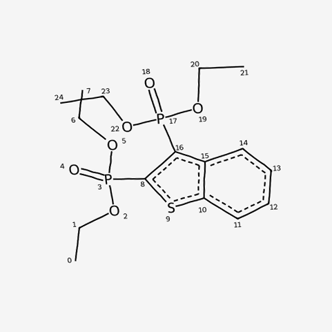 CCOP(=O)(OCC)c1sc2ccccc2c1P(=O)(OCC)OCC